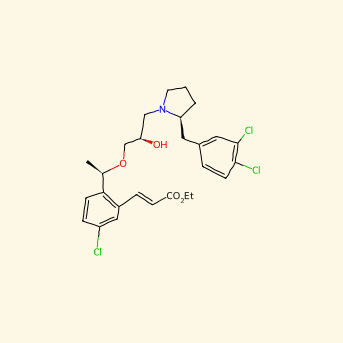 CCOC(=O)/C=C/c1cc(Cl)ccc1[C@@H](C)OC[C@H](O)CN1CCC[C@H]1Cc1ccc(Cl)c(Cl)c1